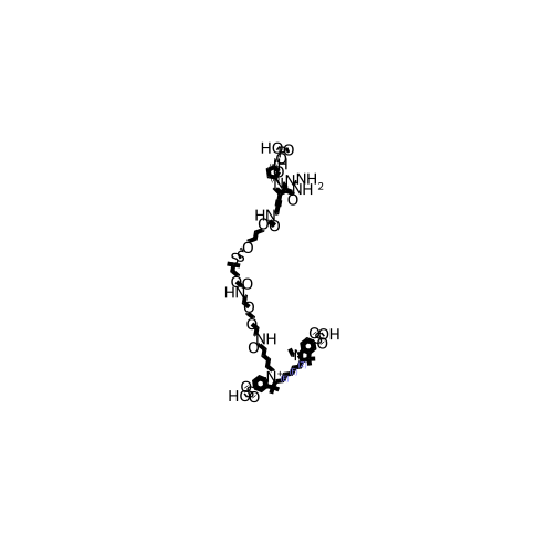 CCN1\C(=C/C=C/C=C/C2=[N+](CCCCCC(=O)NCCOCCOCCNC(=O)OCCC(C)(C)SSCOCCCCOC(=O)NCC#Cc3cn([C@H]4CC[C@@H](CO[PH](=O)O)O4)c4nc(N)[nH]c(=O)c34)c3ccc(S(=O)(=O)O)cc3C2(C)C)C(C)(C)c2cc(S(=O)(=O)O)ccc21